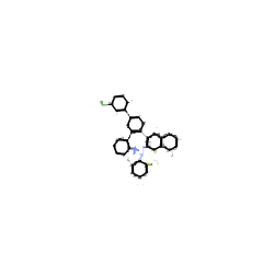 Clc1cccc(-c2ccc3c(c2)-c2ccccc2N2c4ccccc4Sc4c2c-3cc2ccccc42)c1